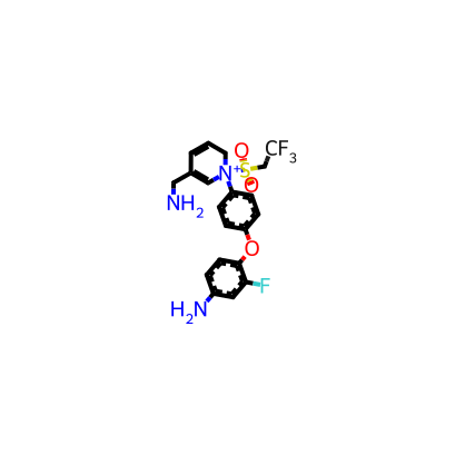 NCC1=C[N+](c2ccc(Oc3ccc(N)cc3F)cc2)(S(=O)(=O)CC(F)(F)F)CC=C1